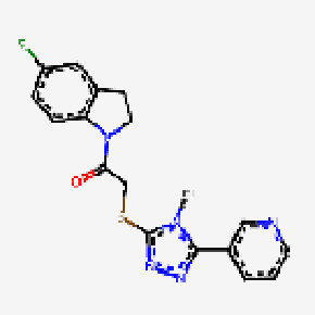 CCn1c(SCC(=O)N2CCc3cc(F)ccc32)nnc1-c1cccnc1